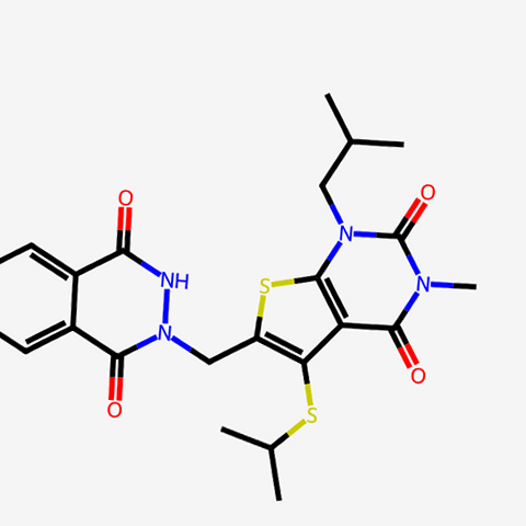 CC(C)Cn1c(=O)n(C)c(=O)c2c(SC(C)C)c(Cn3[nH]c(=O)c4ccccc4c3=O)sc21